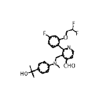 CN(Cc1c(C=O)ccnc1-c1ccc(F)cc1OCC(F)F)c1ccc(C(C)(C)O)cc1